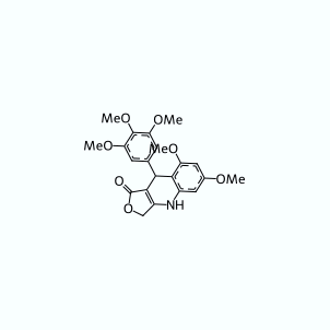 COc1cc2c(c(OC)c1)C(c1cc(OC)c(OC)c(OC)c1)C1=C(COC1=O)N2